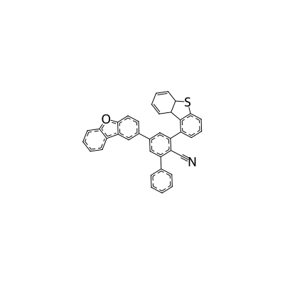 N#Cc1c(-c2ccccc2)cc(-c2ccc3oc4ccccc4c3c2)cc1-c1cccc2c1C1C=CC=CC1S2